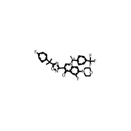 C[C@@H](c1ccc(C(F)(F)F)cc1)n1cc(-c2noc(C(C)(C)c3ccc(F)cc3)n2)c(=O)c2cc(F)c(N3CCOCC3)cc21